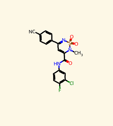 CN1C(C(=O)Nc2ccc(F)c(Cl)c2)=CC(c2ccc(C#N)cc2)=NS1(=O)=O